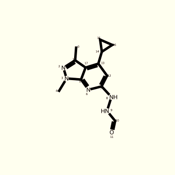 Cc1nn(C)c2nc(NNC=O)cc(C3CC3)c12